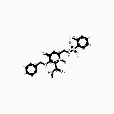 CNC(=O)c1c(OCc2ccccc2)c(=O)cc(CNS(=O)(=O)c2ccccc2Cl)n1C